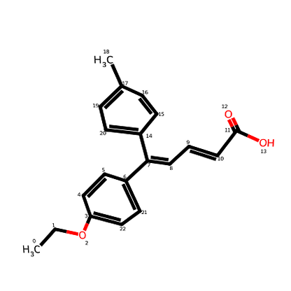 CCOc1ccc(/C(=C/C=C/C(=O)O)c2ccc(C)cc2)cc1